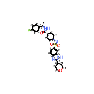 C[C@@H](NC(=O)[C@H]1CC[C@H](NS(=O)(=O)c2ccc3nc(C4CCOCC4)[nH]c3c2)CC1)c1ccc(F)cc1